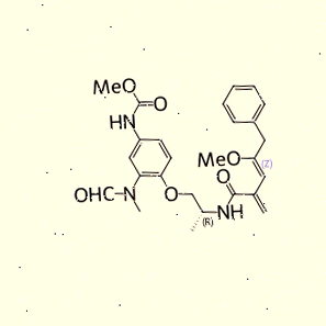 C=C(/C=C(/Cc1ccccc1)OC)C(=O)N[C@H](C)COc1ccc(NC(=O)OC)cc1N(C)C=O